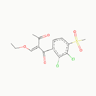 CCOC=C(C(C)=O)C(=O)c1ccc(S(C)(=O)=O)c(Cl)c1Cl